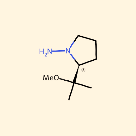 COC(C)(C)[C@@H]1CCCN1N